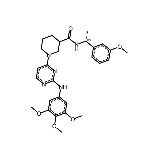 COc1cccc([C@@H](C)NC(=O)C2CCCN(c3ccnc(Nc4cc(OC)c(OC)c(OC)c4)n3)C2)c1